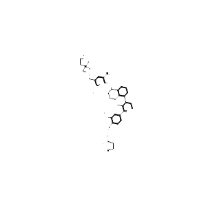 COc1cc(-c2nccc(-c3cccc4c3CCC[C@@H]4Oc3nc(OC)c(CN4CC5(CNC(=O)C5)C4)cc3C(F)(F)F)c2Cl)ccc1CNC[C@H]1CCC(=O)N1